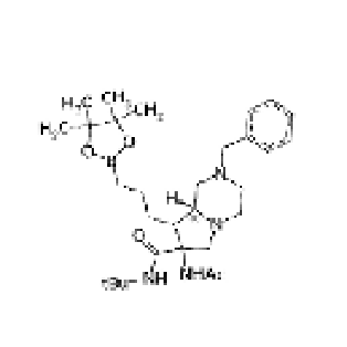 CC(=O)NC1(C(=O)NC(C)(C)C)CN2CCN(Cc3ccccc3)C[C@H]2C1CCCB1OC(C)(C)C(C)(C)O1